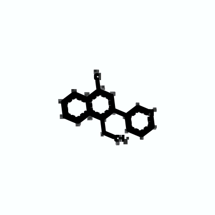 [CH2]Cc1c(-c2cccnc2)cc(Cl)c2ccccc12